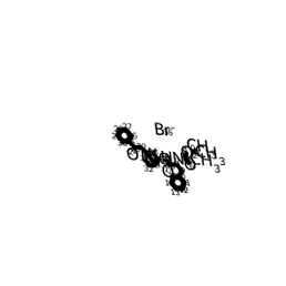 CC(C)(C)OC(=O)NC(Cc1ccccc1)C(=O)OC1C[N+]2(CC(=O)c3ccccc3)CCC1CC2.[Br-]